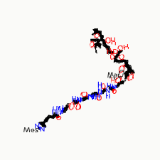 C=C1COC(CC(C(O)CCCCOC2CCC(CC(=O)CC3CO[C@H](CC(O)CNC(=O)CNC(=O)CNC(=O)CNC(=O)CNC(=O)COCCNC(=O)CCCC#Cc4cnc(SC)nc4)[C@@H]3OC)OC2C(O)CO)[C@@H]2CCO[C@H](C)C2=C)C1